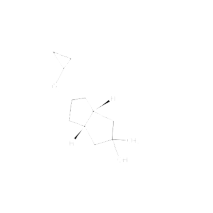 CC1(O)C[C@H]2C[C@@H](OC3CC3)C[C@H]2C1